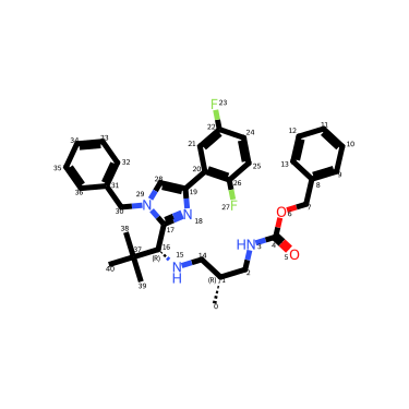 C[C@@H](CNC(=O)OCc1ccccc1)CN[C@@H](c1nc(-c2cc(F)ccc2F)cn1Cc1ccccc1)C(C)(C)C